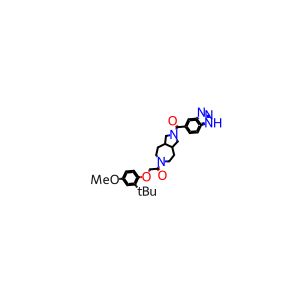 COc1ccc(OCC(=O)N2CCC3CN(C(=O)c4ccc5[nH]nnc5c4)CC3CC2)c(C(C)(C)C)c1